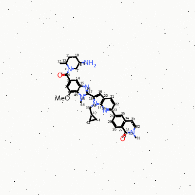 COc1cc(C(=O)N2CC(N)CCC2C)cc2nc(-c3cc4ccc(-c5ccc6c(=O)n(C)ccc6c5)nc4n3CC3CC3)n(C)c12